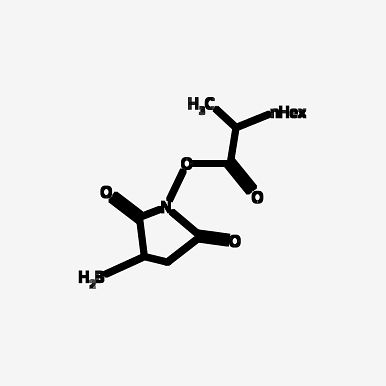 BC1CC(=O)N(OC(=O)C(C)CCCCCC)C1=O